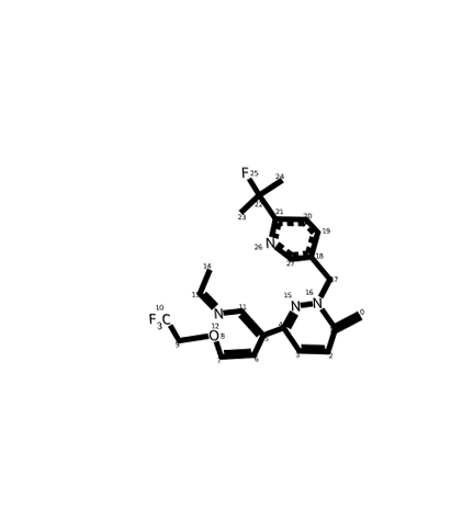 C=C1C=CC(C(/C=C\OCC(F)(F)F)=C/N=C\C)=NN1Cc1ccc(C(C)(C)F)nc1